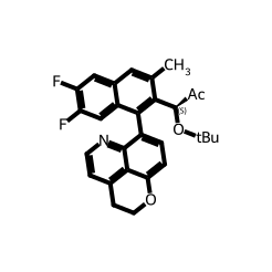 CC(=O)[C@@H](OC(C)(C)C)c1c(C)cc2cc(F)c(F)cc2c1-c1ccc2c3c(ccnc13)CCO2